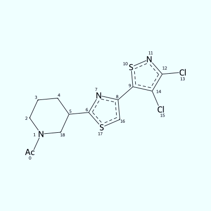 CC(=O)N1CCCC(c2nc(-c3snc(Cl)c3Cl)cs2)C1